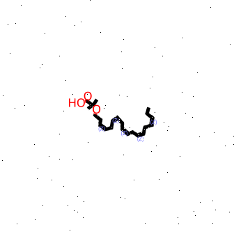 CC/C=C\C/C=C\C/C=C\C/C=C\C/C=C\CCOC(C)(C)C(=O)O